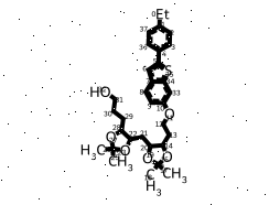 CCc1ccc(-c2cc3ccc(OCCC4OC(C)(C)OC4CC4OC(C)(C)OC4CCCO)cc3s2)cc1